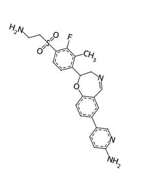 Cc1c(C2CN=Cc3cc(-c4ccc(N)nc4)ccc3O2)ccc(S(=O)(=O)CCN)c1F